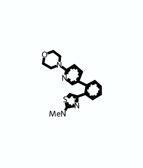 CNc1nc(-c2ccccc2-c2ccc(N3CCOCC3)nc2)cs1